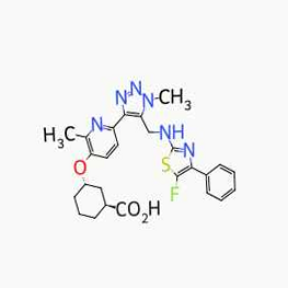 Cc1nc(-c2nnn(C)c2CNc2nc(-c3ccccc3)c(F)s2)ccc1O[C@H]1CCC[C@H](C(=O)O)C1